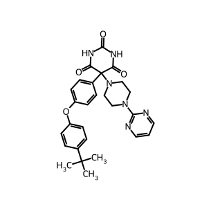 CC(C)(C)c1ccc(Oc2ccc(C3(N4CCN(c5ncccn5)CC4)C(=O)NC(=O)NC3=O)cc2)cc1